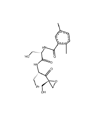 Cc1ccc(C)c(C(=O)N[C@@H](CO)C(=O)N[C@@H](CC(C)C)C(=O)[C@@]2(CO)CO2)c1